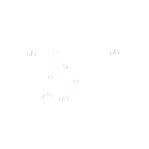 CCC/C=C/[Si](OCCC)(OCCC)OCCC